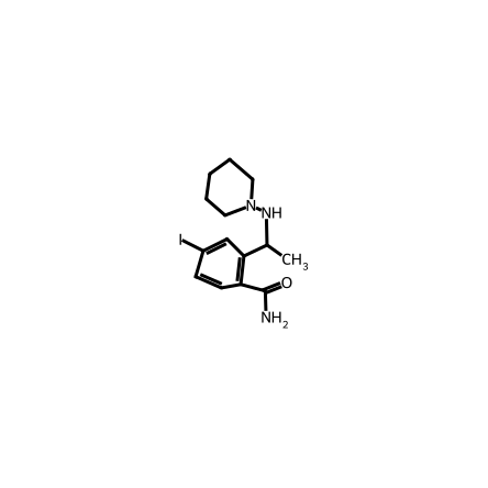 CC(NN1CCCCC1)c1cc(I)ccc1C(N)=O